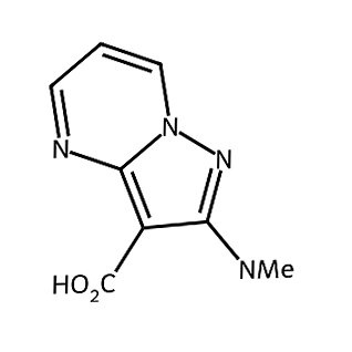 CNc1nn2cccnc2c1C(=O)O